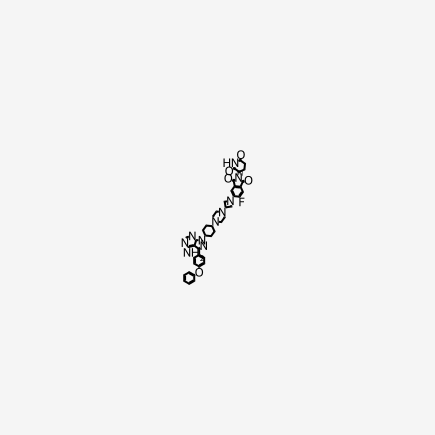 Nc1ncnc2c1c(-c1ccc(Oc3ccccc3)cc1)nn2C1CCC(N2CCN(C3CN(c4cc5c(cc4F)C(=O)N([C@@H]4CCC(=O)NC4=O)C5=O)C3)CC2)CC1